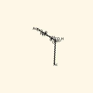 CC(=O)CCCCCCCCCCCCCCCCCCC(=O)N[C@@H](CCC(=O)NCCCCNC(=O)NCCOCCOCC(C)=O)C(=O)O